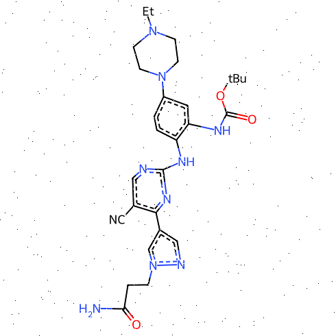 CCN1CCN(c2ccc(Nc3ncc(C#N)c(-c4cnn(CCC(N)=O)c4)n3)c(NC(=O)OC(C)(C)C)c2)CC1